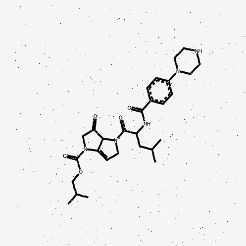 CC(C)COC(=O)N1CC(=O)C2C1=CCN2C(=O)C(CC(C)C)NC(=O)c1ccc(N2CCNCC2)cc1